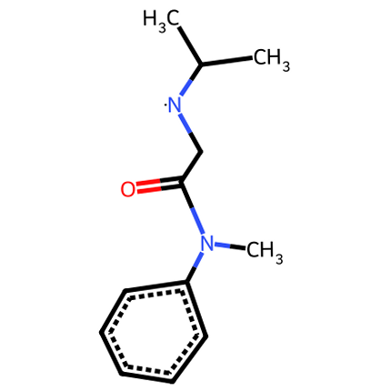 CC(C)[N]CC(=O)N(C)c1ccccc1